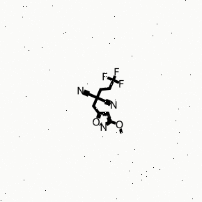 COc1cc(CC(C#N)(C#N)CCC(F)(F)F)on1